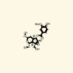 CCO[C@H]1C[C@H]2[C@H](OC(=O)c3ccc(O)c(OC)c3)[C@@H]3O[C@]3(CO)[C@H]2[C@H](OCC)O1